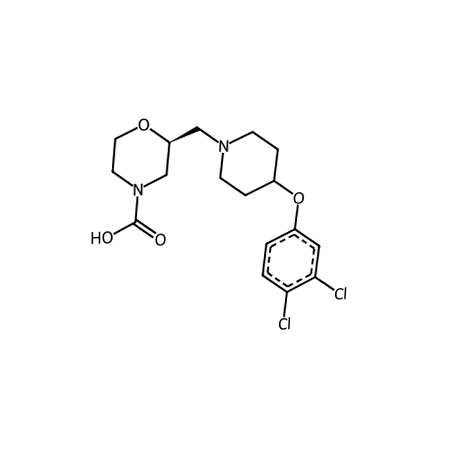 O=C(O)N1CCO[C@@H](CN2CCC(Oc3ccc(Cl)c(Cl)c3)CC2)C1